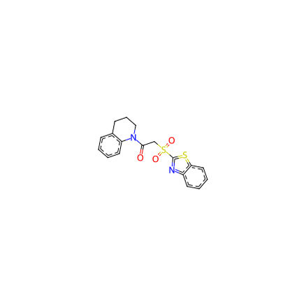 O=C(CS(=O)(=O)c1nc2ccccc2s1)N1CCCc2ccccc21